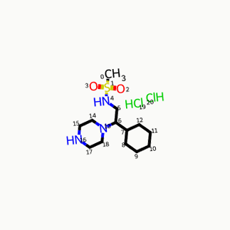 CS(=O)(=O)NCC(C1CCCCC1)N1CCNCC1.Cl.Cl